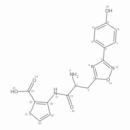 NC(Cc1nc(-c2ccc(O)cc2)no1)C(=O)Nc1ccsc1C(=O)O